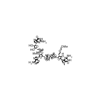 COCCOCC[C@@H]1[C@@H](COP(=O)(O)OP(=O)(O)OP(=O)(O)OC[C@H]2O[C@@H](n3cnc4c(N)ncnc43)[C@H](OC)[C@@H]2OP(=O)(O)OC[C@H]2O[C@@H](n3cnc4c(=O)[nH]c(N)nc43)[C@H](O)[C@@H]2O)OC(n2c[n+](C)c3c(=O)[nH]c(N)nc32)[C@@H]1O